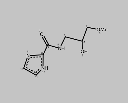 COCC(O)CNC(=O)c1ncc[nH]1